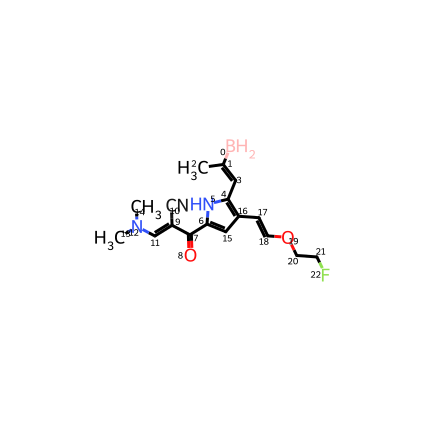 B/C(C)=C/c1[nH]c(C(=O)/C(C#N)=C/N(C)C)cc1/C=C/OCCF